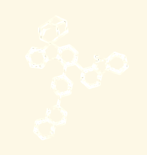 c1ccc2c(c1)-c1c(ccc(-c3cccc4c3sc3ccccc34)c1-c1ccc(-c3ccc4ccccc4c3)cc1)C21C2CC3CC(C2)CC1C3